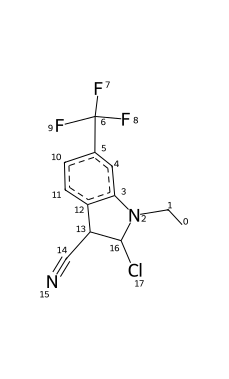 CCN1c2cc(C(F)(F)F)ccc2C(C#N)C1Cl